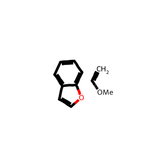 C=COC.c1ccc2occc2c1